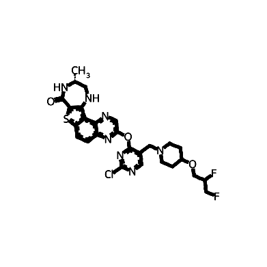 C[C@@H]1CNc2c(sc3ccc4nc(Oc5nc(Cl)ncc5CN5CCC(OCC(F)CF)CC5)cnc4c23)C(=O)N1